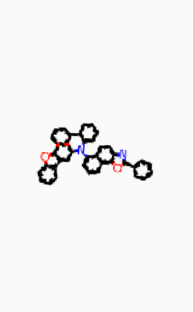 c1ccc(-c2nc3ccc4c(N(c5ccc6oc7ccccc7c6c5)c5ccccc5-c5ccccc5)cccc4c3o2)cc1